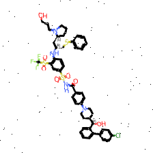 O=C(NS(=O)(=O)c1ccc(N[C@@H](CSc2ccccc2)C[C@@H]2CCCN2CCCO)c(S(=O)(=O)C(F)(F)F)c1)c1ccc(N2CCC([C@@H](O)c3ccccc3-c3ccc(Cl)cc3)CC2)cc1